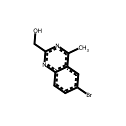 Cc1nc(CO)nc2ccc(Br)cc12